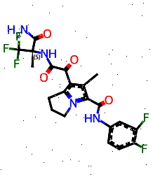 Cc1c(C(=O)C(=O)N[C@@](C)(C(N)=O)C(F)(F)F)c2n(c1C(=O)Nc1ccc(F)c(F)c1)CCC2